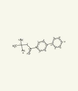 CC(=O)C(C)(CC(=O)c1ccc(-c2ccccc2)cc1)C(C)=O